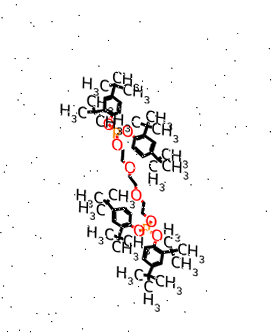 CC(C)(C)c1ccc(OP(OCCOCCOCCOP(Oc2ccc(C(C)(C)C)cc2C(C)(C)C)Oc2ccc(C(C)(C)C)cc2C(C)(C)C)Oc2ccc(C(C)(C)C)cc2C(C)(C)C)c(C(C)(C)C)c1